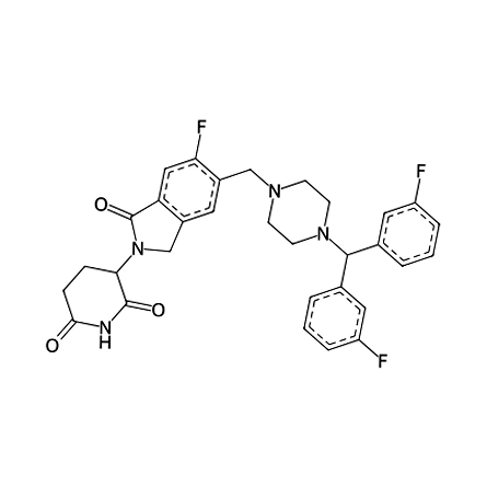 O=C1CCC(N2Cc3cc(CN4CCN(C(c5cccc(F)c5)c5cccc(F)c5)CC4)c(F)cc3C2=O)C(=O)N1